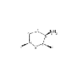 C[C@H]1CC[C@@H](N)[C@@H](C)C1